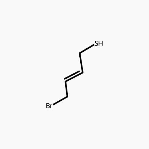 SCC=CCBr